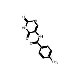 Cc1ccc(C(=O)Nc2c[nH]c(=O)[nH]c2=O)cc1